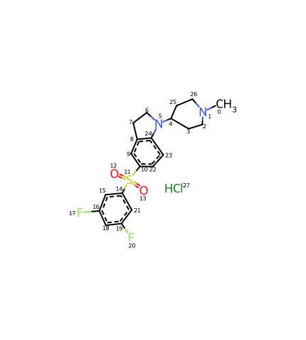 CN1CCC(N2CCc3cc(S(=O)(=O)c4cc(F)cc(F)c4)ccc32)CC1.Cl